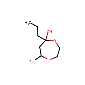 CCCC1(O)CC(C)OCCO1